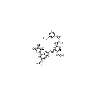 Cc1ccnc([C@H]2C[C@@H]2C(=O)Nc2cc(OCc3cn4cc(C5CC5)cc(N5CC(=O)N(C)C5=O)c4n3)c(CO)nn2)n1